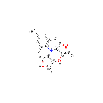 Cc1cc(C(C)(C)C)cc(C)c1N1c2coc(C)c2Oc2c1coc2C